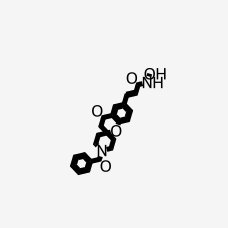 O=C(C=Cc1ccc2c(c1)C(=O)CC1(CCN(C(=O)c3ccccc3)CC1)O2)NO